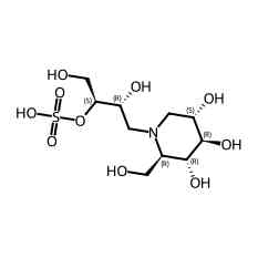 O=S(=O)(O)O[C@@H](CO)[C@H](O)CN1C[C@H](O)[C@@H](O)[C@H](O)[C@H]1CO